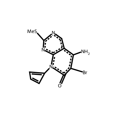 CSc1ncc2c(N)c(Br)c(=O)n(C3=CC=C3)c2n1